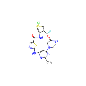 Cc1nc(Nc2ncc(C(=O)NC3=C[SH](Cl)C=C3CF)s2)cc(N2CCNC(=O)C2)n1